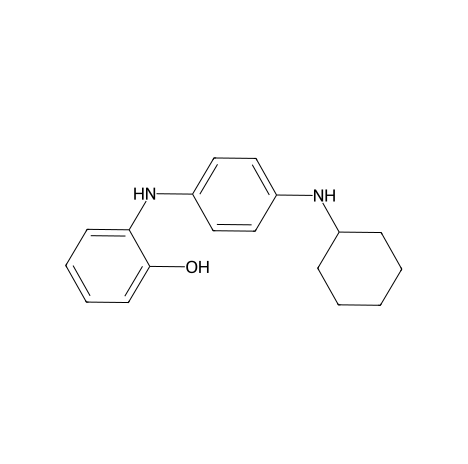 Oc1ccccc1Nc1ccc(NC2CCCCC2)cc1